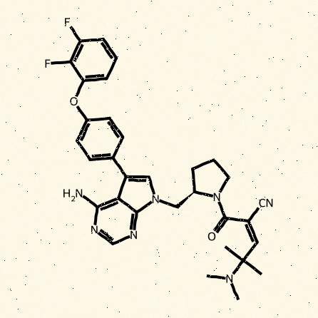 CN(C)C(C)(C)/C=C(/C#N)C(=O)N1CCC[C@@H]1Cn1cc(-c2ccc(Oc3cccc(F)c3F)cc2)c2c(N)ncnc21